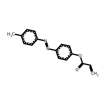 C=CC(=O)Oc1ccc(N=Nc2ccc(C)cc2)cc1